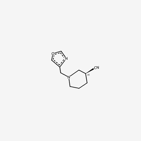 N#C[C@H]1CCCN(Cc2cocn2)C1